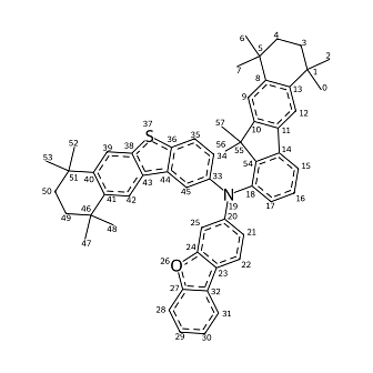 CC1(C)CCC(C)(C)c2cc3c(cc21)-c1cccc(N(c2ccc4c(c2)oc2ccccc24)c2ccc4sc5cc6c(cc5c4c2)C(C)(C)CCC6(C)C)c1C3(C)C